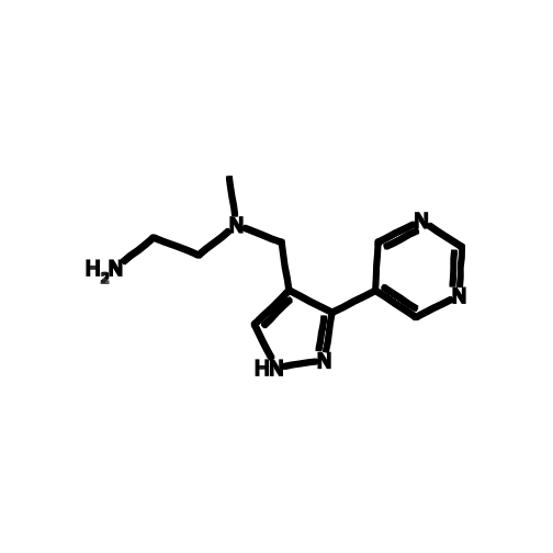 CN(CCN)Cc1c[nH]nc1-c1cncnc1